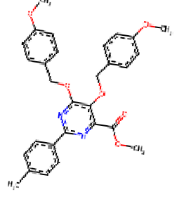 COC(=O)c1nc(-c2ccc(C)cc2)nc(OCc2ccc(OC)cc2)c1OCc1ccc(OC)cc1